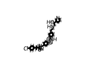 CC(C)(c1ccc(Cl)cc1)c1nc(-c2ccc(S(=O)(=O)Nc3ccc(CCNCC(O)c4cccnc4)cc3)cc2)no1